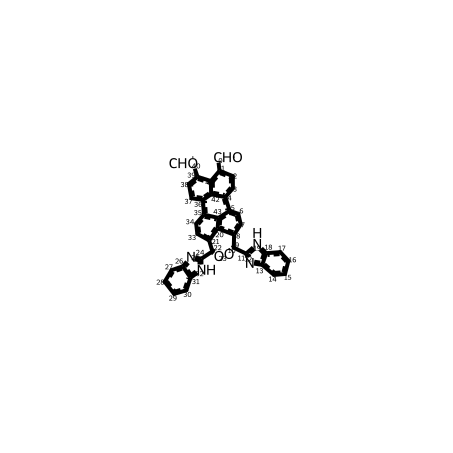 O=[C]c1ccc2c3ccc(C(=O)c4nc5ccccc5[nH]4)c4c(C(=O)c5nc6ccccc6[nH]5)ccc(c5ccc([C]=O)c1c25)c43